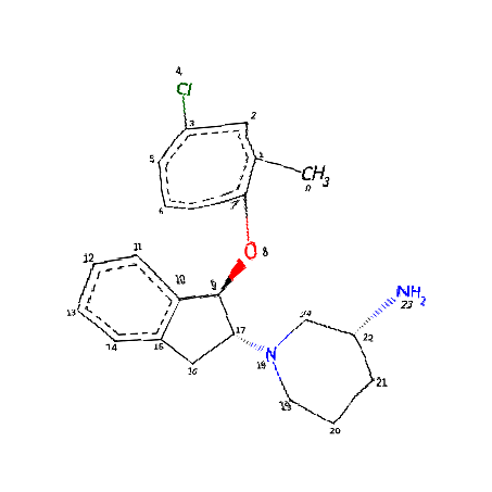 Cc1cc(Cl)ccc1O[C@@H]1c2ccccc2C[C@H]1N1CCC[C@@H](N)C1